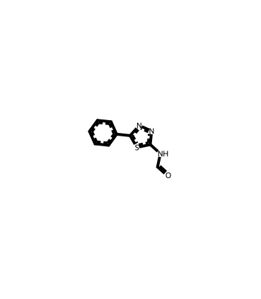 O=CNc1nnc(-c2ccccc2)s1